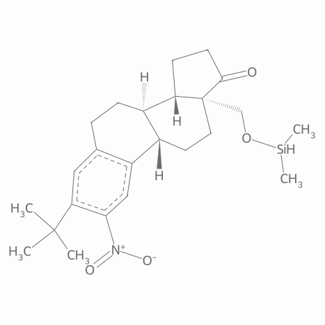 C[SiH](C)OC[C@]12CC[C@@H]3c4cc([N+](=O)[O-])c(C(C)(C)C)cc4CC[C@H]3[C@@H]1CCC2=O